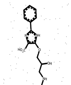 CCCCNCC(O)COc1[nH]c(-c2ccccc2)nc1C(=O)O